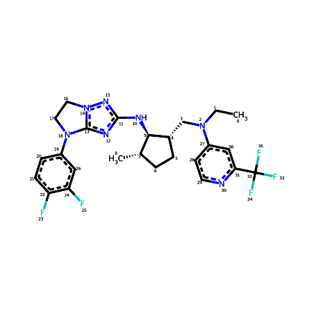 CCN(C[C@@H]1CC[C@H](C)[C@H]1Nc1nc2n(n1)CCN2c1ccc(F)c(F)c1)c1ccnc(C(F)(F)F)c1